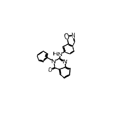 O=c1c2ccccc2nc(Nc2ccc3cnoc3c2)n1-c1ccccc1